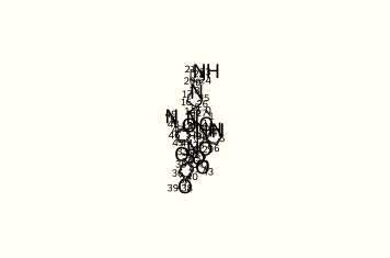 CCOc1ncccc1[C@@]1(NC(=O)N2CC3(CCN(C4CCNCC4)CC3)C2)C(=O)N(S(=O)(=O)c2ccc(OC)cc2OC)c2ccc(C#N)cc21